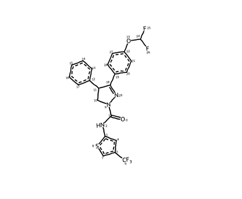 O=C(Nc1cc(C(F)(F)F)cs1)N1CC(c2ccccc2)C(c2ccc(OC(F)F)cc2)=N1